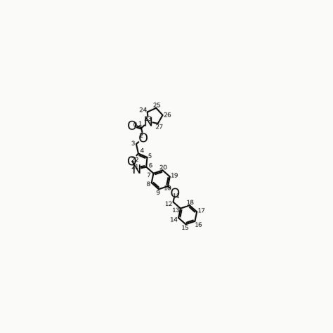 O=C(OCc1cc(-c2ccc(OCc3ccccc3)cc2)no1)N1CCCC1